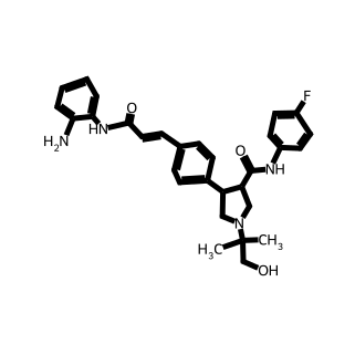 CC(C)(CO)N1CC(C(=O)Nc2ccc(F)cc2)C(c2ccc(/C=C/C(=O)Nc3ccccc3N)cc2)C1